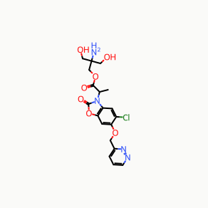 CC(C(=O)OCC(N)(CO)CO)n1c(=O)oc2cc(OCc3cccnn3)c(Cl)cc21